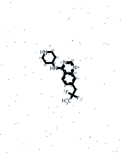 CC(F)(F)Cc1ccc2c(NC3CCNCC3)ncnc2c1